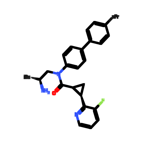 CCCc1ccc(-c2ccc(N(C[C@@H](N)[C@@H](C)CC)C(=O)C3C[C@H]3c3ncccc3F)cc2)cc1